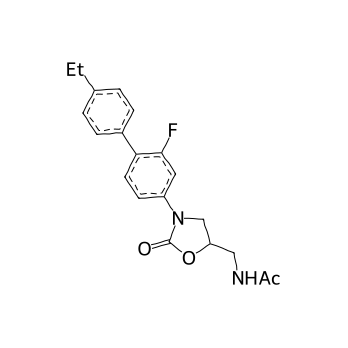 CCc1ccc(-c2ccc(N3CC(CNC(C)=O)OC3=O)cc2F)cc1